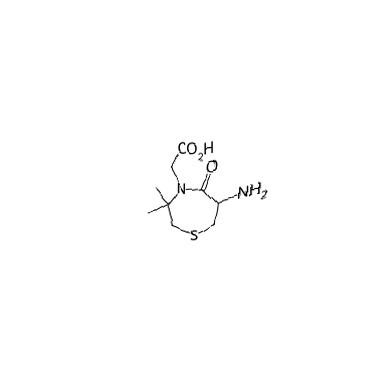 CC1(C)CSCC(N)C(=O)N1CC(=O)O